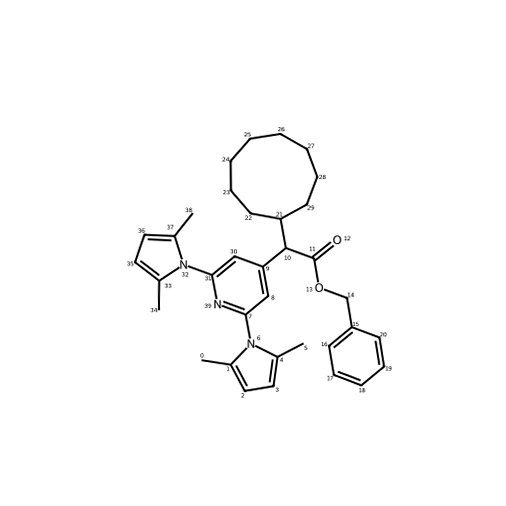 Cc1ccc(C)n1-c1cc(C(C(=O)OCc2ccccc2)C2CCCCCCCC2)cc(-n2c(C)ccc2C)n1